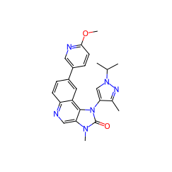 COc1ccc(-c2ccc3ncc4c(c3c2)n(-c2cn(C(C)C)nc2C)c(=O)n4C)cn1